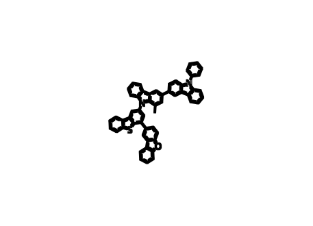 Cc1cc(-c2ccc3c(c2)c2ccccc2n3-c2ccccc2)cc2c3ccccc3n(-c3cc(-c4ccc5oc6ccccc6c5c4)c4sc5ccccc5c4c3)c12